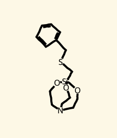 c1ccc(CSC[Si]23OCCN(CCO2)CCO3)cc1